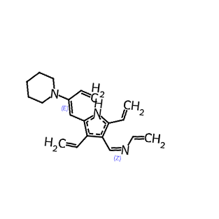 C=C/N=C\c1c(C=C)[nH]c(/C=C(\C=C)N2CCCCC2)c1C=C